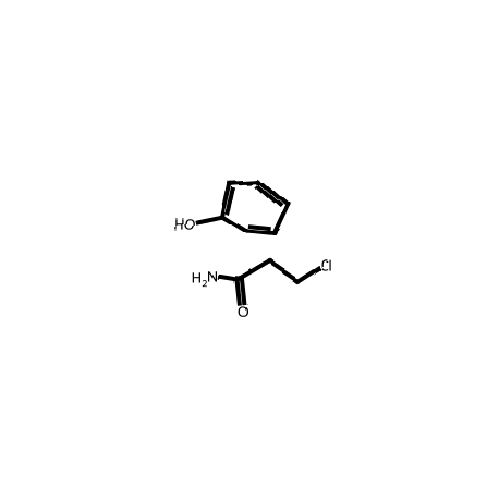 NC(=O)CCCl.Oc1ccccc1